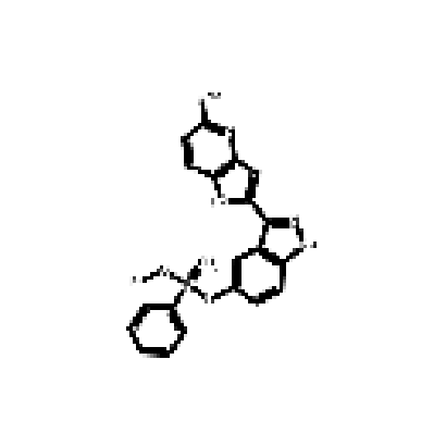 C=P(OCC)(Oc1ccc2[nH]nc(-c3cc4nc(OC)ccc4[nH]3)c2c1)c1ccccc1